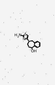 Nc1nc(C2CCC(O)c3ccccc3C2)cs1